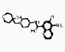 Nc1c(Cl)cc(C(O)NC2CCN(CC3(O)CCOCC3)CC2)c2ncccc12